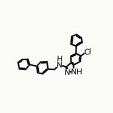 Clc1cc2[nH]nc(NCc3ccc(-c4ccccc4)cc3)c2cc1-c1ccccc1